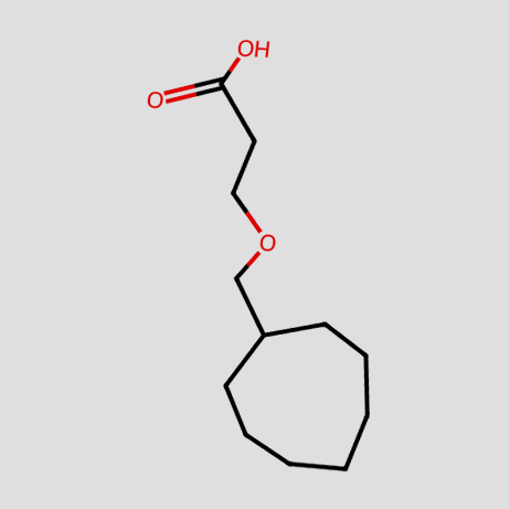 O=C(O)CCOCC1CCCCCCC1